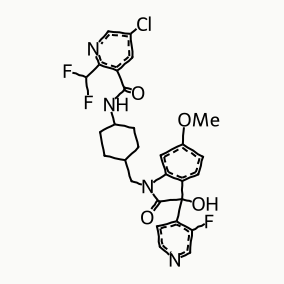 COc1ccc2c(c1)N(CC1CCC(NC(=O)c3cc(Cl)cnc3C(F)F)CC1)C(=O)C2(O)c1ccncc1F